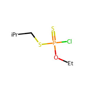 CCOP(=S)(Cl)SCC(C)C